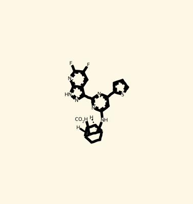 O=C(O)[C@H]1C2CCC(CC2)[C@@H]1Nc1cc(-c2cccs2)nc(-c2n[nH]c3nc(F)c(F)cc23)n1